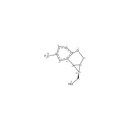 OC[C@@H]1C2COc3ccc(C(F)(F)F)cc3C21